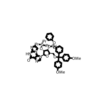 COc1ccc(C(OC[C@H]2O[C@@H](n3cnc4c(=O)[nH]c5nccn5c43)[C@H](O[Si](C(C)C)(C(C)C)C(C)C)[C@@H]2O[PH](=O)Oc2ccccc2)(c2ccccc2)c2ccc(OC)cc2)cc1